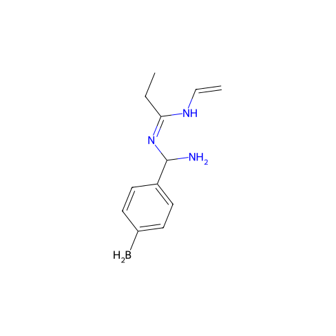 Bc1ccc(C(N)/N=C(/CC)NC=C)cc1